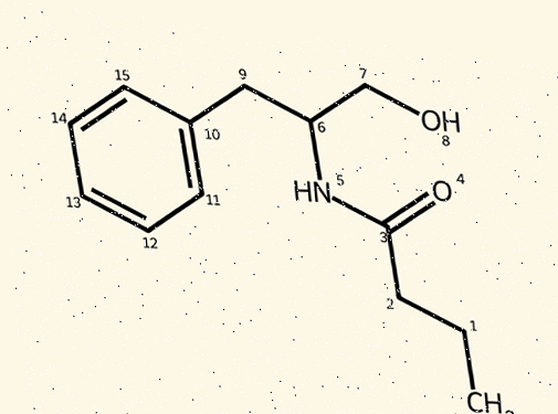 CCCC(=O)NC(CO)Cc1ccccc1